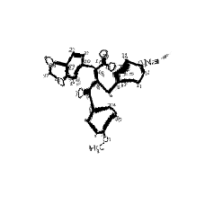 COc1ccc(C(=O)C(Cc2ccccc2)=C(C(=O)[O-])c2ccc3c(c2)OCO3)cc1.[Na+]